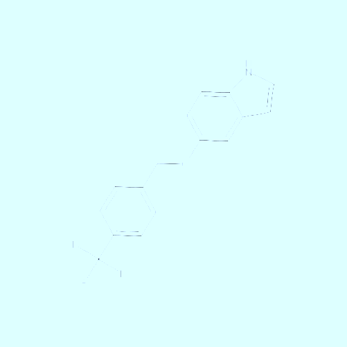 FC(F)(F)c1ccc(COc2ccc3[nH]ccc3c2)cc1